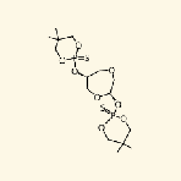 CC1(C)COP(=S)(O[C@H]2COC[C@@H](OP3(=S)OCC(C)(C)CO3)OC2)OC1